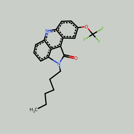 CCCCCCN1C(=O)c2c3cc(OC(F)(F)F)ccc3nc3cccc1c23